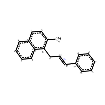 Oc1ccc2ccccc2c1C/C=C/c1ccccc1